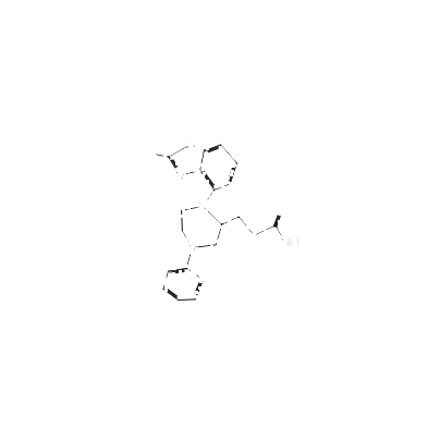 NC(=O)CCC1CN(c2ccccc2)CCN1c1cccc2[nH]c(C(F)(F)F)nc12